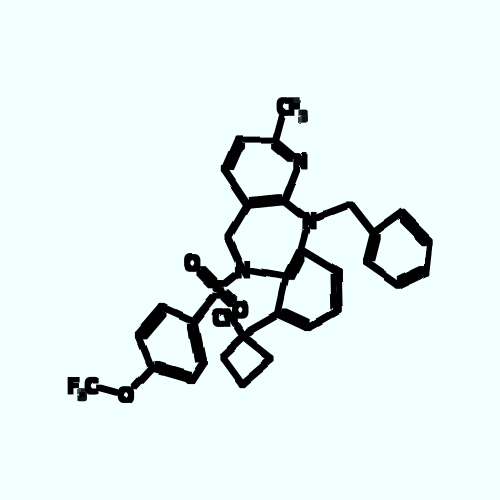 [C-]#[N+]C1(c2cccc3c2N(S(=O)(=O)c2ccc(OC(F)(F)F)cc2)Cc2ccc(C(F)(F)F)nc2N3Cc2ccccc2)CCC1